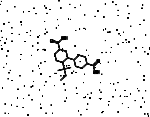 CCC(C)(C)C1CCC(C(=O)O)CC1C1CCC(C(=O)O)CC1